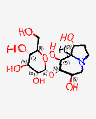 OC[C@H]1O[C@H](O[C@@H]2[C@@H](O)[C@@H]3[C@H](O)CCN3C[C@H]2O)[C@H](O)[C@@H](O)[C@@H]1O